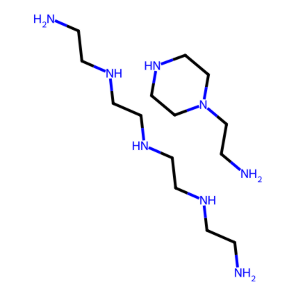 NCCN1CCNCC1.NCCNCCNCCNCCN